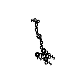 Cc1cc(C)c(C2=C(OCc3ccccc3)C3(CCC(OCCOCCN4CCN(CCOCCOCC(=O)O)CC4)CC3)OC2=O)c(C)c1